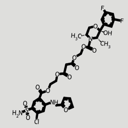 C[C@@H]1CO[C@@](O)(c2cc(F)cc(F)c2)[C@H](C)N1C(=O)OCOC(=O)CC(=O)OCCOC(=O)c1cc(S(N)(=O)=O)c(Cl)cc1NCc1ccco1